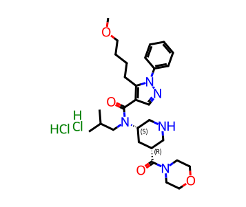 COCCCCc1c(C(=O)N(CC(C)C)[C@@H]2CNC[C@H](C(=O)N3CCOCC3)C2)cnn1-c1ccccc1.Cl.Cl